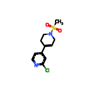 CS(=O)(=O)N1CC=C(c2ccnc(Cl)c2)CC1